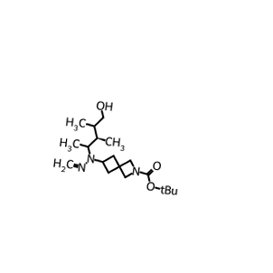 C=NN(C1CC2(C1)CN(C(=O)OC(C)(C)C)C2)C(C)[C@H](C)C(C)CO